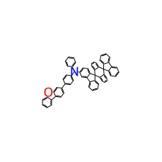 c1ccc(N(c2ccc(-c3ccc4c(c3)oc3ccccc34)cc2)c2ccc3c(c2)-c2ccccc2C32c3ccccc3C3(c4ccccc4-c4ccccc43)c3ccccc32)cc1